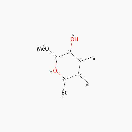 CCC1OC(OC)C(O)C(C)C1C